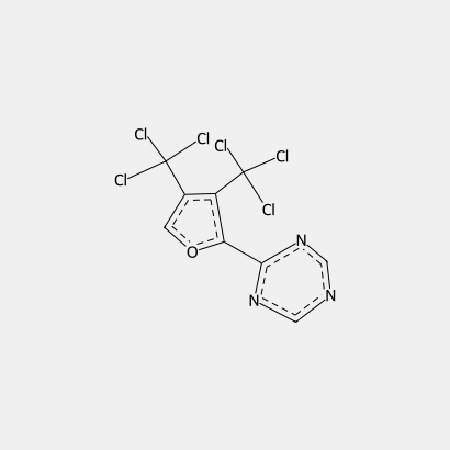 ClC(Cl)(Cl)c1coc(-c2ncncn2)c1C(Cl)(Cl)Cl